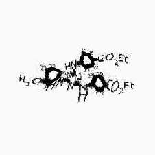 CCOC(=O)c1ccc(Nc2nc(Nc3ccc(C(=O)OCC)cc3)nc(Nc3cccc(C)c3)n2)cc1